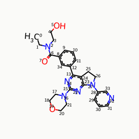 CCN(CCO)C(=O)c1cccc(-c2nc(N3CCOCC3)nc3c2CCN3c2cccnc2)c1